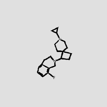 Fc1cccc2c1CN(C1CCC13CCN(C1CC1)CC3)CC2